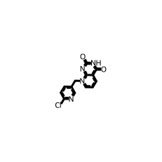 O=c1nc2n(Cc3ccc(Cl)nc3)cccc-2c(=O)[nH]1